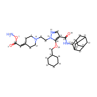 NOC(=O)C=C1CCN(CCn2ncc(C(=O)NC3C4CC5CC(C4)CC3C5)c2OCC2CCCCC2)CC1